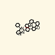 c1ccc(-c2nc(-c3ccc(-c4ccc5oc6cccc7c8cccc9c%10ccccc%10n(c4c5c67)c89)cc3)nc3ncccc23)cc1